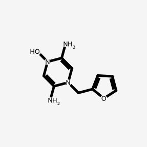 NC1=CN(Cc2ccco2)C(N)=CN1O